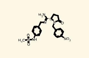 CS(=O)(=O)Nc1ccc(CN=C(N)[C@@H]2CCC(=O)N2Cc2ccc([N+](=O)[O-])cc2)cc1